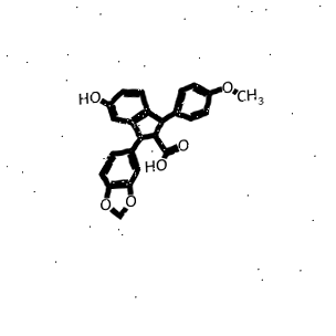 COc1ccc(C2c3ccc(O)cc3C(c3ccc4c(c3)OCO4)C2C(=O)O)cc1